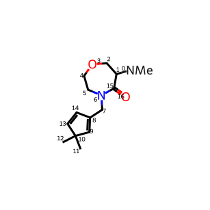 CNC1COCCN(CC2=CC(C)(C)C=C2)C1=O